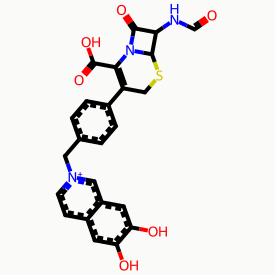 O=CNC1C(=O)N2C(C(=O)O)=C(c3ccc(C[n+]4ccc5cc(O)c(O)cc5c4)cc3)CSC12